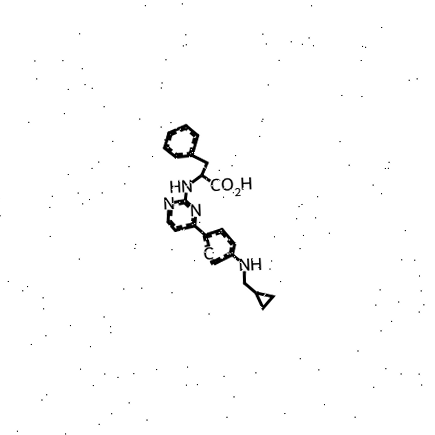 O=C(O)C(Cc1ccccc1)Nc1nccc(-c2ccc(NCC3CC3)cc2)n1